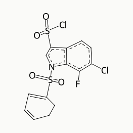 O=S(=O)(Cl)c1cn(S(=O)(=O)C2=CC=CCC2)c2c(F)c(Cl)ccc12